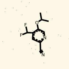 CC(C)Oc1cnc(C#N)cc1C(F)F